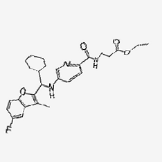 CCOC(=O)CCNC(=O)c1ccc(NC(c2oc3ccc(F)cc3c2C)C2CCCCC2)cn1